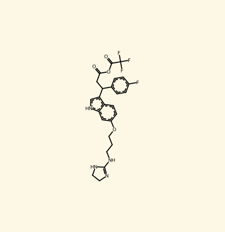 O=C(CC(c1ccc(F)cc1)c1c[nH]c2cc(OCCCNC3=NCCN3)ccc12)OC(=O)C(F)(F)F